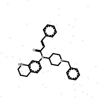 O=C(C=Cc1ccccc1)N(c1ccc2c(c1)NCCC2)C1CCN(Cc2ccccc2)CC1